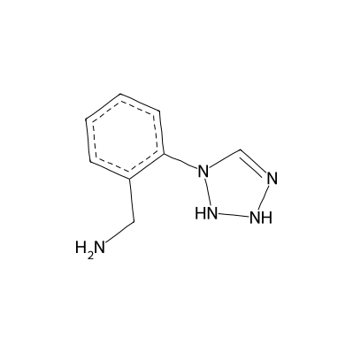 NCc1ccccc1N1C=NNN1